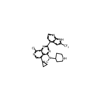 CN(c1nc(-c2ccnc3[nH]c(C(F)(F)F)cc23)nc2c(Cl)ncc(C3CC3)c12)C1CCNCC1